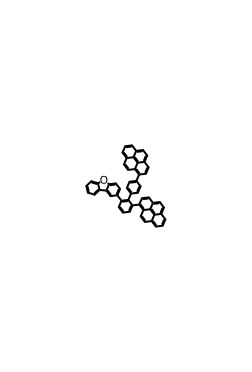 c1cc(-c2ccc3oc4ccccc4c3c2)c(-c2ccc(-c3ccc4ccc5cccc6ccc3c4c56)cc2)c(-c2ccc3ccc4cccc5ccc2c3c45)c1